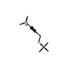 C[SiH](C)C#CCOC(C)(C)C